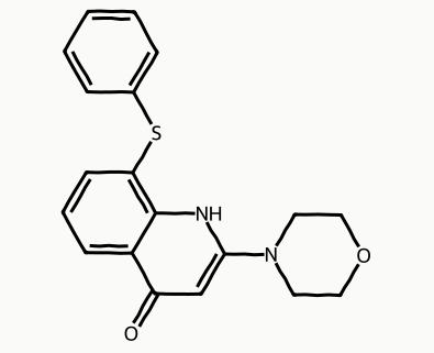 O=c1cc(N2CCOCC2)[nH]c2c(Sc3ccccc3)cccc12